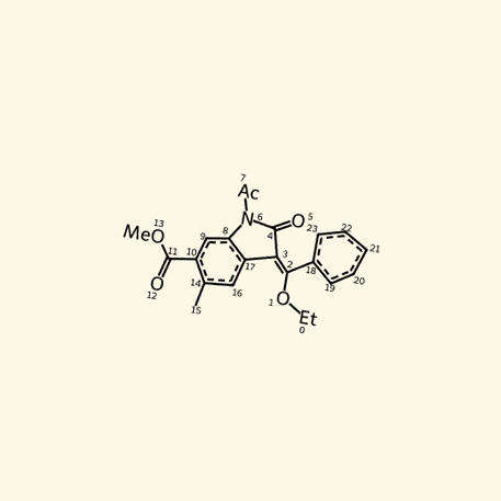 CCO/C(=C1/C(=O)N(C(C)=O)c2cc(C(=O)OC)c(C)cc21)c1ccccc1